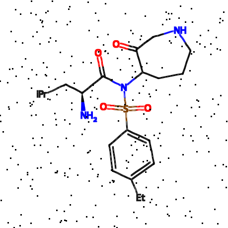 CCc1ccc(S(=O)(=O)N(C(=O)[C@@H](N)CC(C)C)C2CCCNCC2=O)cc1